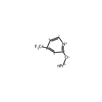 CCCOc1cc(C(F)(F)F)ccn1